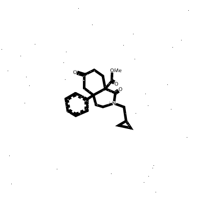 COC(=O)C12CCC(=O)CC1(c1ccccc1)CCN(CC1CC1)C2=O